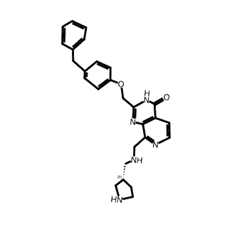 O=c1[nH]c(COc2ccc(Cc3ccccc3)cc2)nc2c(CNC[C@@H]3CCNC3)nccc12